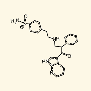 NS(=O)(=O)c1ccc(CCNCC(C(=O)c2c[nH]c3ncccc23)c2ccccc2)cc1